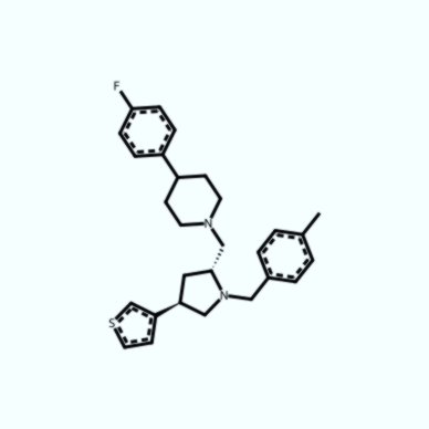 Cc1ccc(CN2C[C@@H](c3ccsc3)C[C@@H]2CN2CCC(c3ccc(F)cc3)CC2)cc1